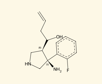 C=CCC(O)[C@@H]1CNC[C@@]1(N)c1ccccc1F